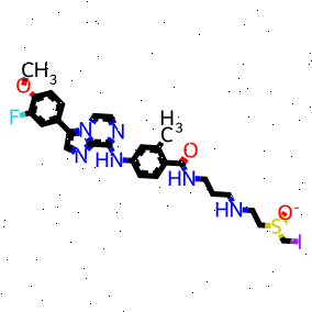 COc1ccc(-c2cnc3c(Nc4ccc(C(=O)NCCCNCC[S+]([O-])CI)c(C)c4)nccn23)cc1F